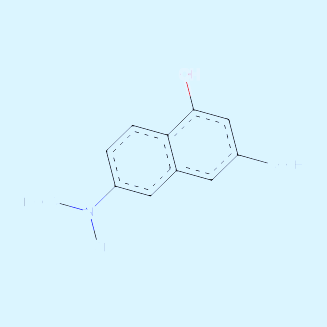 CN(c1ccc2c(O)cc(S(=O)(=O)O)cc2c1)S(=O)(=O)O